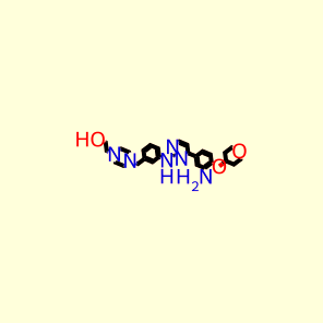 Nc1cc(-c2ccnc(Nc3cccc(CN4CCN(CCO)CC4)c3)n2)ccc1OC1CCOCC1